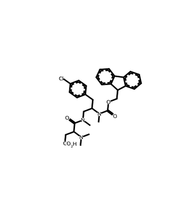 CN(CC(Cc1ccc(Cl)cc1)N(C)C(=O)OCC1c2ccccc2-c2ccccc21)C(=O)C(CC(=O)O)N(C)C